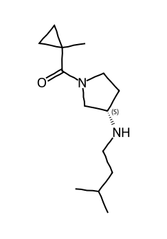 CC(C)CCN[C@H]1CCN(C(=O)C2(C)CC2)C1